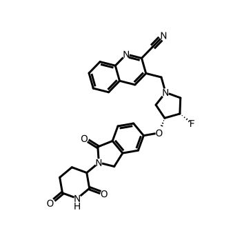 N#Cc1nc2ccccc2cc1CN1C[C@H](F)[C@H](Oc2ccc3c(c2)CN(C2CCC(=O)NC2=O)C3=O)C1